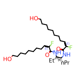 CCC[C@@H](NC(=O)/C(F)=C\CCCCCCCCO)[C@H](CC)NC(=O)/C(F)=C\CCCCCCCCO